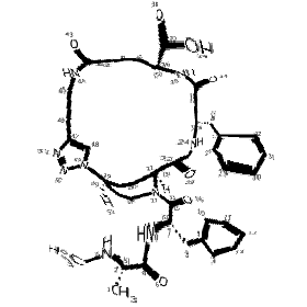 CN[C@@H](C)C(=O)N[C@@H](Cc1ccccc1)C(=O)N1C[C@@H]2C[C@H]1C(=O)N[C@@H](Cc1ccccc1)C(=O)N[C@H](C(=O)O)CCC(=O)NCCc1cn2nn1